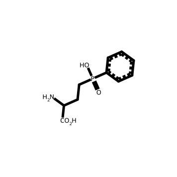 NC(CCP(=O)(O)c1ccccc1)C(=O)O